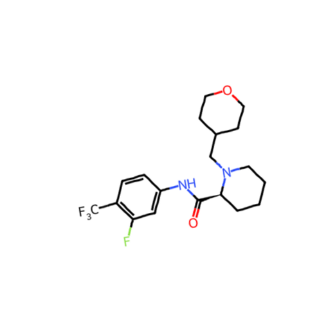 O=C(Nc1ccc(C(F)(F)F)c(F)c1)[C@@H]1CCCCN1CC1CCOCC1